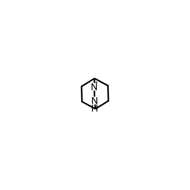 C1CC2CCC1=NN2